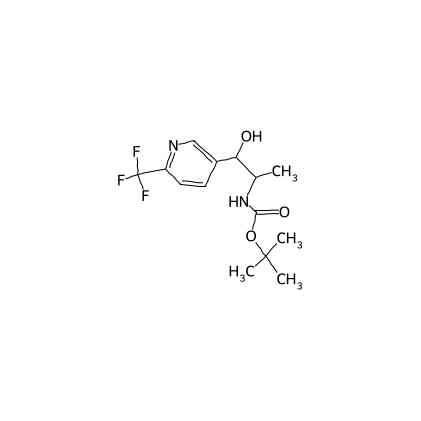 CC(NC(=O)OC(C)(C)C)C(O)c1ccc(C(F)(F)F)nc1